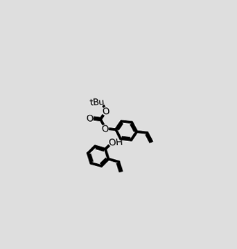 C=Cc1ccc(OC(=O)OC(C)(C)C)cc1.C=Cc1ccccc1O